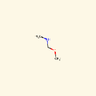 [CH2]NCO[CH2]